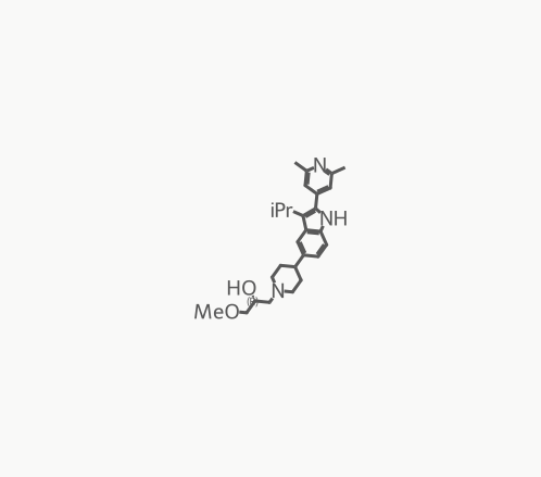 COC[C@H](O)CN1CCC(c2ccc3[nH]c(-c4cc(C)nc(C)c4)c(C(C)C)c3c2)CC1